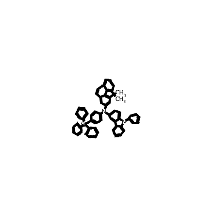 CC1(C)c2cccc3ccc4cc(N(c5ccc([Si](c6ccccc6)(c6ccccc6)c6ccccc6)cc5)c5ccc6c(c5)c5ccccc5n6-c5ccccc5)cc1c4c23